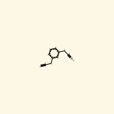 C#CCc1cccc(CC#N)c1